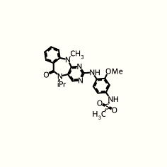 COc1cc(NS(C)(=O)=O)ccc1Nc1ncc2c(n1)N(C)c1ccccc1C(=O)N2C(C)C